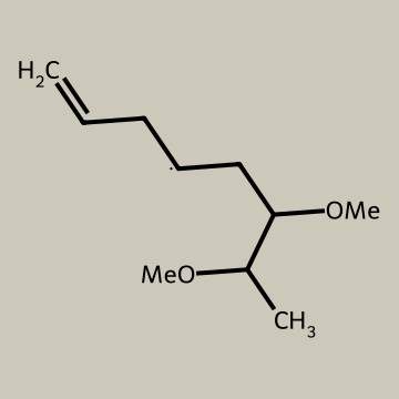 C=CC[CH]CC(OC)C(C)OC